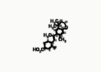 CC(=Cc1ccc(C(=O)O)cc1F)c1cc2c(cc1C)OCCC2(C)C